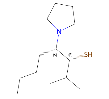 CCCC[C@@H]([C@H](S)C(C)C)N1CCCC1